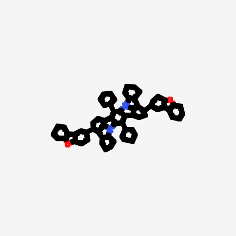 c1ccc(-c2c3c4ccc(-c5ccc6oc7ccccc7c6c5)c5c6ccccc6n(c3c(-c3ccccc3)c3c6ccc(-c7ccc8oc9ccccc9c8c7)c7c8ccccc8n(c23)c67)c45)cc1